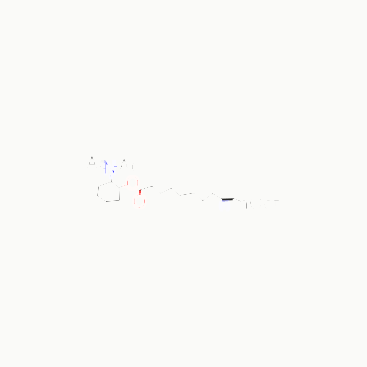 CCCCCCCC/C=C/CCCCCCCC(=O)OC1CCCCC1N(C(C)=O)C(C)=O